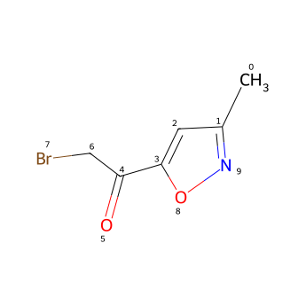 Cc1cc(C(=O)CBr)on1